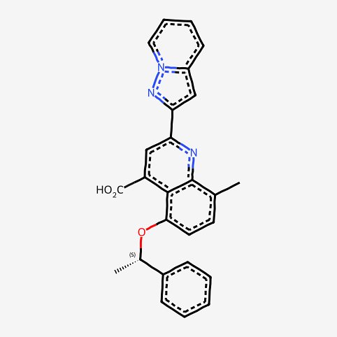 Cc1ccc(O[C@@H](C)c2ccccc2)c2c(C(=O)O)cc(-c3cc4ccccn4n3)nc12